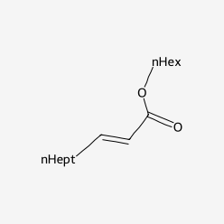 CCCCCCCC=CC(=O)OCCCCCC